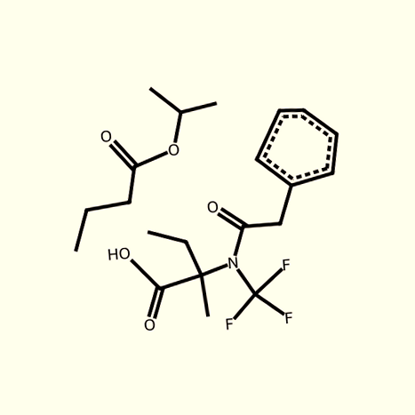 CCC(C)(C(=O)O)N(C(=O)Cc1ccccc1)C(F)(F)F.CCCC(=O)OC(C)C